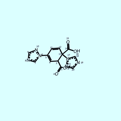 O=C(O)C1C=C(n2cncn2)C=CC1(C(=O)O)n1cncn1